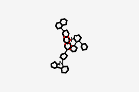 c1ccc(-c2ccccc2-c2c(-c3ccccc3)cccc2N(c2ccc(-c3ccc(-n4c5ccccc5c5ccccc54)cc3)cc2)c2ccc(-c3cccc4ccccc34)cc2)cc1